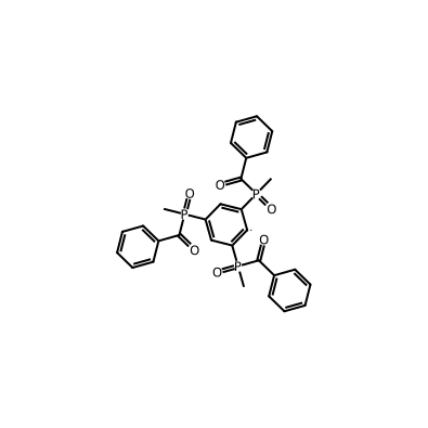 CP(=O)(C(=O)c1ccccc1)c1[c]c(P(C)(=O)C(=O)c2ccccc2)cc(P(C)(=O)C(=O)c2ccccc2)c1